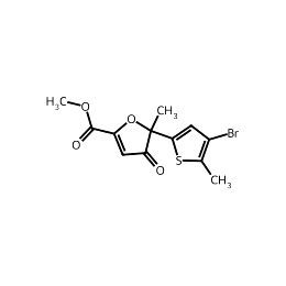 COC(=O)C1=CC(=O)C(C)(c2cc(Br)c(C)s2)O1